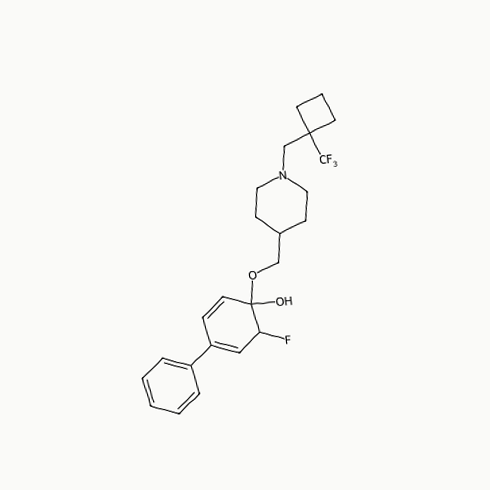 OC1(OCC2CCN(CC3(C(F)(F)F)CCC3)CC2)C=CC(c2ccccc2)=CC1F